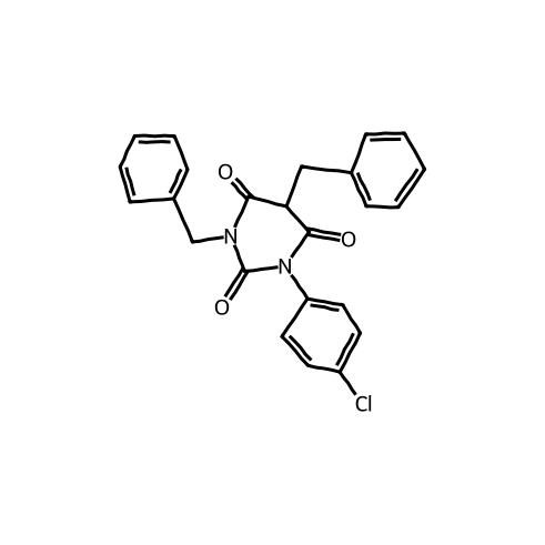 O=C1C(Cc2ccccc2)C(=O)N(c2ccc(Cl)cc2)C(=O)N1Cc1ccccc1